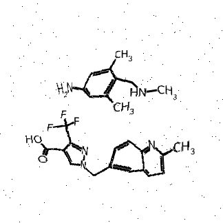 CNCc1c(C)cc(N)cc1C.Cc1ccc2cc(Cn3cc(C(=O)O)c(C(F)(F)F)n3)ccc2n1